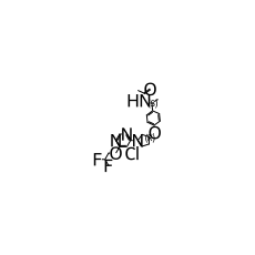 CC(=O)N[C@@H](C)c1ccc(O[C@@H]2CCN(c3ncnc(OCC(F)F)c3Cl)C2)cc1